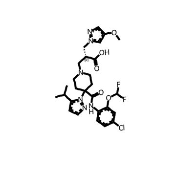 COc1cnn(C[C@@H](CN2CCC(C(=O)Nc3ccc(Cl)cc3OC(F)F)(n3nccc3C(C)C)CC2)C(=O)O)c1